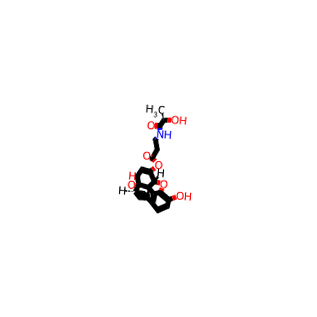 C[C@H](O)C(=O)NCCC(=O)OC1=CC[C@@]2(O)[C@@H]3CCC[C@@]24c2c(ccc(O)c2O[C@@H]14)C3